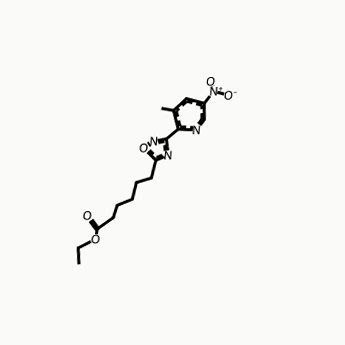 CCOC(=O)CCCCCc1nc(-c2ncc([N+](=O)[O-])cc2C)no1